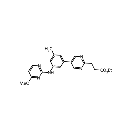 CCOC(=O)CCc1ncc(-c2cc(C)cc(Nc3nccc(OC)n3)c2)cn1